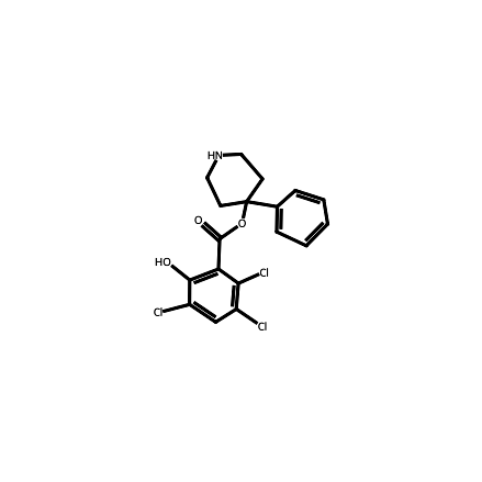 O=C(OC1(c2ccccc2)CCNCC1)c1c(O)c(Cl)cc(Cl)c1Cl